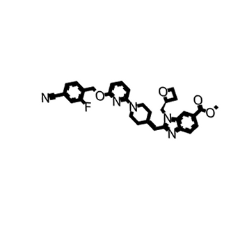 COC(=O)c1ccc2nc(C=C3CCN(c4cccc(OCc5ccc(C#N)cc5F)n4)CC3)n(C[C@@H]3CCO3)c2c1